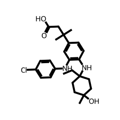 CCC1(Nc2ccc(C(C)(C)CC(=O)O)cc2Nc2ccc(Cl)cc2)CCC(C)(O)CC1